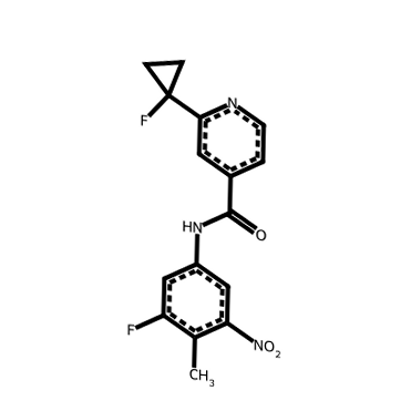 Cc1c(F)cc(NC(=O)c2ccnc(C3(F)CC3)c2)cc1[N+](=O)[O-]